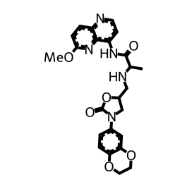 COc1ccc2nccc(NC(=O)C(C)NCC3CN(c4ccc5c(c4)OCCO5)C(=O)O3)c2n1